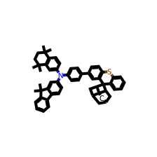 CC1(C)CCC(C)(C)c2cc(N(c3ccc(-c4ccc5c(c4)C4(c6ccccc6S5)C5CC6CC7CC4C75C6)cc3)c3ccc4c(c3)C(C)(C)c3ccccc3-4)ccc21